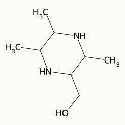 CC1NC(C)C(CO)NC1C